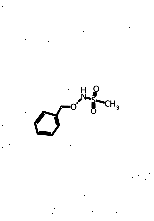 CS(=O)(=O)NOCc1ccccc1